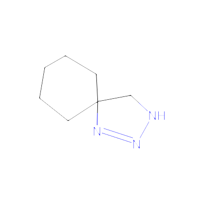 C1CCC2(CC1)CNN=N2